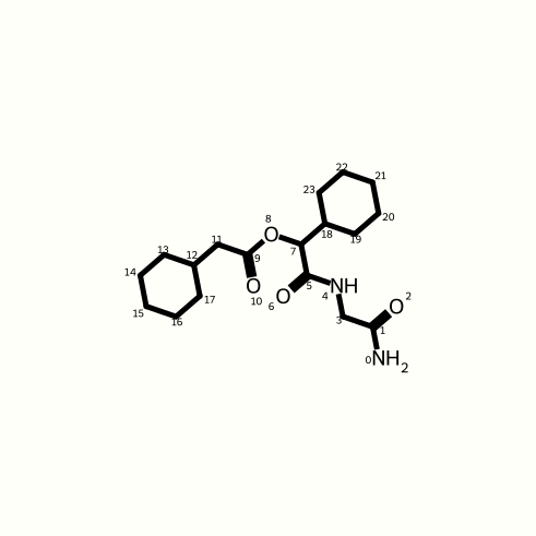 NC(=O)CNC(=O)C(OC(=O)CC1CCCCC1)C1CCCCC1